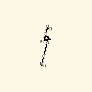 CCc1cc(OCC=C(Cl)Cl)cc(C)c1OCCCCCCOCC/C=N/O